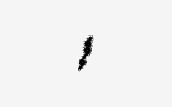 C/C=C/[C@H]1CC[C@H](CC/C=C/C2CCC([C@H]3CC[C@H](CCC)CC3)CC2)CC1